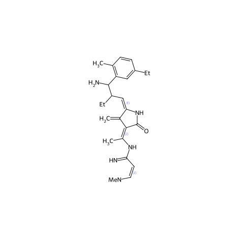 C=C1/C(=C(\C)NC(=N)/C=C\NC)C(=O)N/C1=C/C(CC)C(N)c1cc(CC)ccc1C